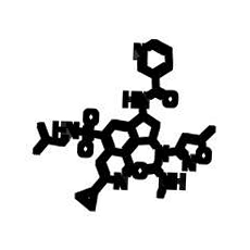 CNC(=O)N(c1cc(C)on1)C1CC(NC(=O)c2cccnc2)c2cc(S(=O)(=O)NCC(C)C)c3cc(C4CC4)ncc3c21